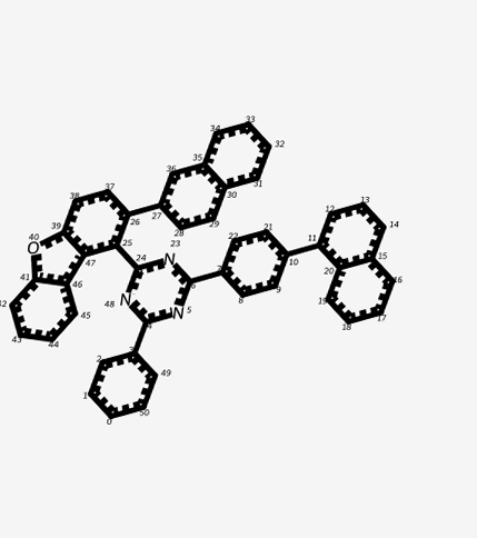 c1ccc(-c2nc(-c3ccc(-c4cccc5ccccc45)cc3)nc(-c3c(-c4ccc5ccccc5c4)ccc4oc5ccccc5c34)n2)cc1